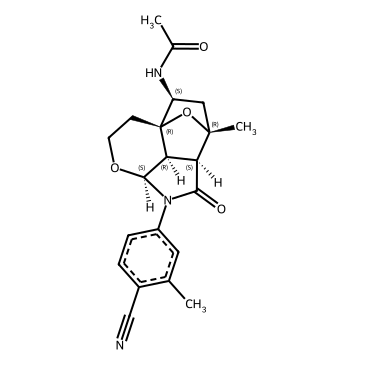 CC(=O)N[C@H]1C[C@@]2(C)O[C@@]13CCO[C@H]1[C@@H]3[C@@H]2C(=O)N1c1ccc(C#N)c(C)c1